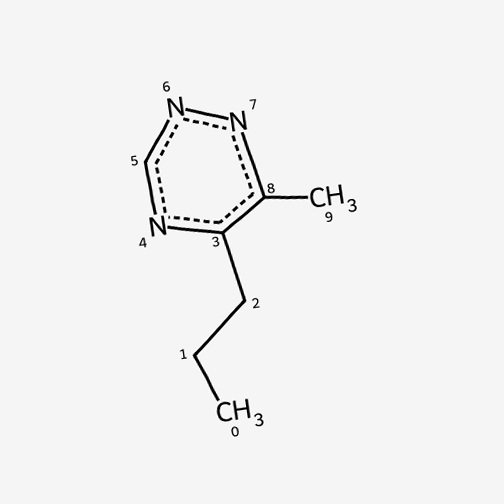 CCCc1ncnnc1C